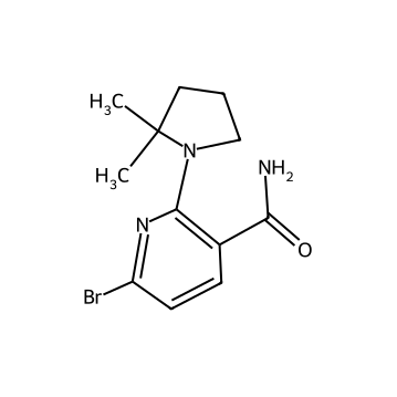 CC1(C)CCCN1c1nc(Br)ccc1C(N)=O